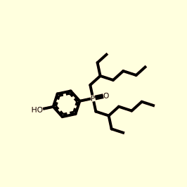 CCCCC(CC)CP(=O)(CC(CC)CCCC)c1ccc(O)cc1